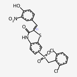 O=C1Nc2ccc(S(=O)(=O)Cc3c(Cl)cccc3Cl)cc2S/C1=C/c1ccc(O)c([N+](=O)[O-])c1